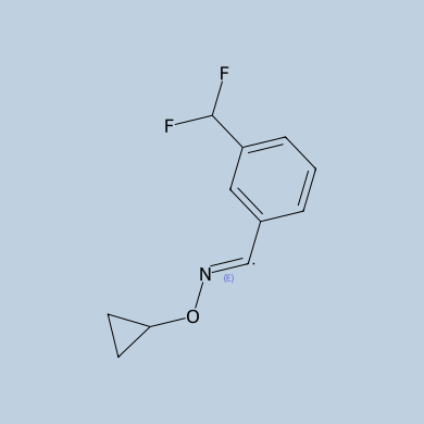 FC(F)c1cccc(/[C]=N/OC2CC2)c1